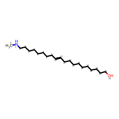 CNCCCCCCCCC=CCCCCCCCCCCO